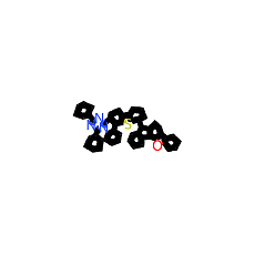 c1ccc(-c2nc(-c3ccccc3)nc(-c3ccc4c(sc5c(C6c7ccccc7-c7c6ccc6c7oc7ccccc76)cccc54)c3-c3ccccc3)n2)cc1